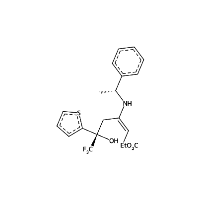 CCOC(=O)/C=C(\C[C@](O)(c1cccs1)C(F)(F)F)N[C@H](C)c1ccccc1